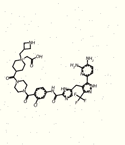 Nc1ccc(-c2[nH]nc(C(F)(F)F)c2Cc2cnc(C(=O)Nc3ccc(C(=O)N4CCN(C(=O)C5CC[N+](CC(=O)O)(CC6CNC6)CC5)CC4)c(Cl)c3)[nH]2)nc1N